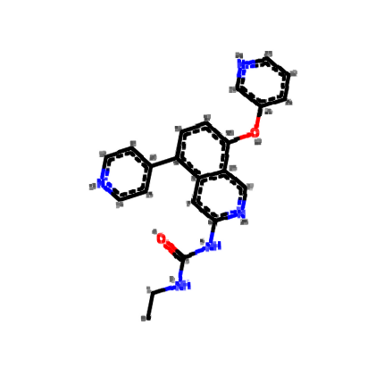 CCNC(=O)Nc1cc2c(-c3ccncc3)ccc(Oc3cccnc3)c2cn1